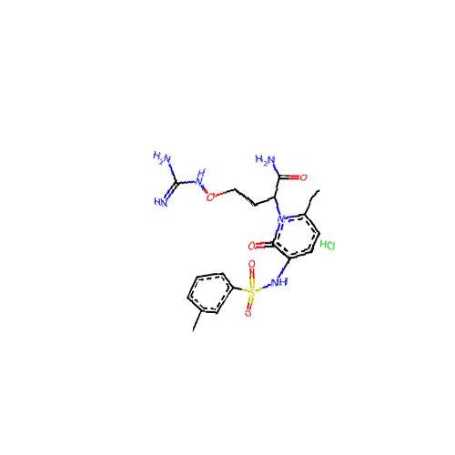 Cc1cccc(S(=O)(=O)Nc2ccc(C)n(C(CCONC(=N)N)C(N)=O)c2=O)c1.Cl